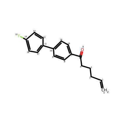 C=CCCCC(=O)c1ccc(-c2ccc(F)cc2)cc1